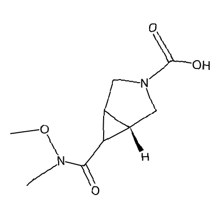 CON(C)C(=O)C1C2CN(C(=O)O)C[C@@H]21